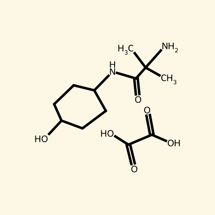 CC(C)(N)C(=O)NC1CCC(O)CC1.O=C(O)C(=O)O